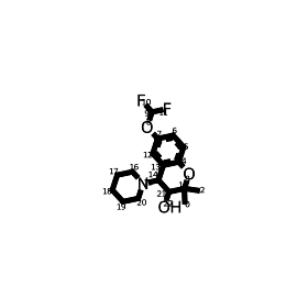 CC1(C)Oc2ccc(OC(F)F)cc2C(N2CCCCC2)C1O